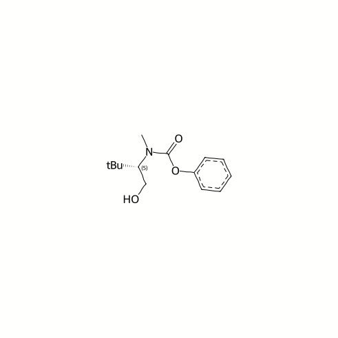 CN(C(=O)Oc1ccccc1)[C@H](CO)C(C)(C)C